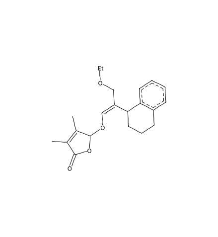 CCOC/C(=C/OC1OC(=O)C(C)=C1C)C1CCCc2ccccc21